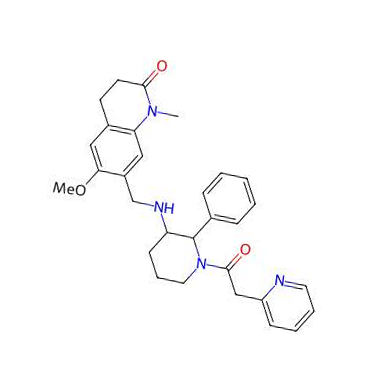 COc1cc2c(cc1CNC1CCCN(C(=O)Cc3ccccn3)C1c1ccccc1)N(C)C(=O)CC2